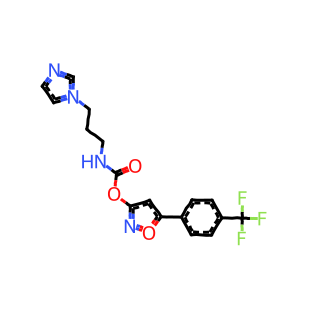 O=C(NCCCn1ccnc1)Oc1cc(-c2ccc(C(F)(F)F)cc2)on1